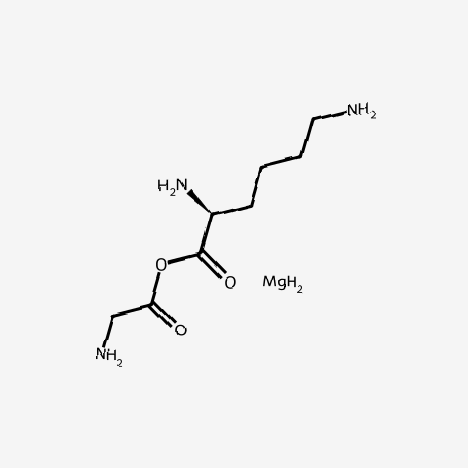 NCCCC[C@H](N)C(=O)OC(=O)CN.[MgH2]